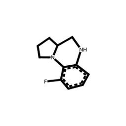 Fc1cccc2c1N1CCCC1CN2